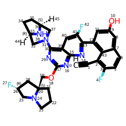 C#Cc1c(F)ccc2cc(O)cc(-c3nc4nc(OC[C@@]56CCCN5C[C@H](F)C6)nc(N5C[C@H]6CC[C@@H](C5)N6)c4cc3F)c12